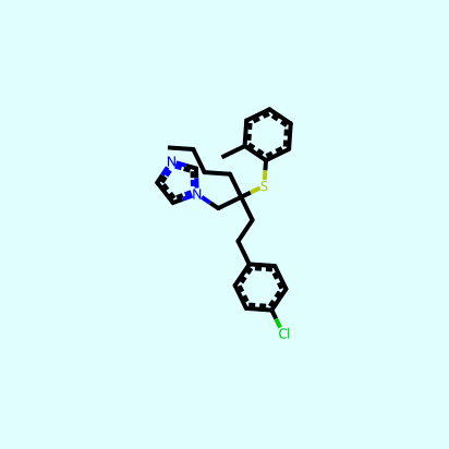 CCCCC(CCc1ccc(Cl)cc1)(Cn1ccnc1)Sc1ccccc1C